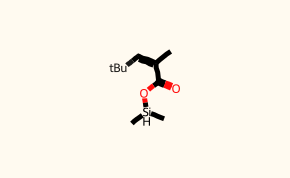 CC(=CC(C)(C)C)C(=O)O[SiH](C)C